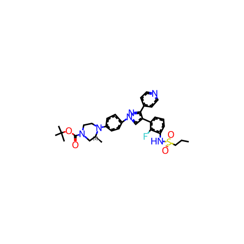 CCCS(=O)(=O)Nc1cccc(-c2cn(-c3ccc(N4CCN(C(=O)OC(C)(C)C)C[C@@H]4C)cc3)nc2-c2ccncc2)c1F